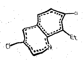 CCc1c(Cl)ccc2cc(Cl)cnc12